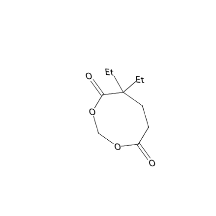 CCC1(CC)CCC(=O)OCOC1=O